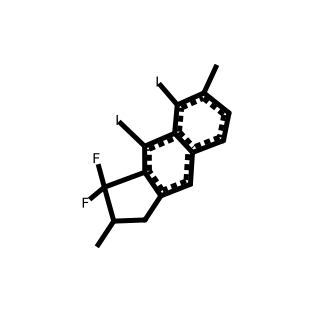 Cc1ccc2cc3c(c(I)c2c1I)C(F)(F)C(C)C3